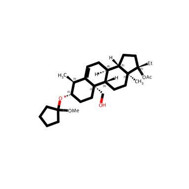 CC[C@]1(OC(C)=O)CC[C@H]2[C@@H]3CC=C4[C@H](C)[C@@H](OC5(OC)CCCC5)CC[C@]4(CO)[C@H]3CC[C@@]21C